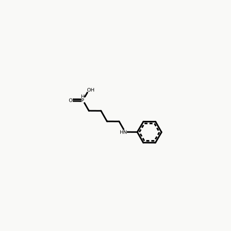 O=[PH](O)CCCCNc1ccccc1